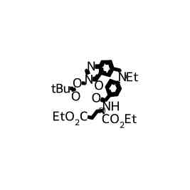 CCOC(=O)CC[C@@H](NC(=O)c1ccc(N(CC)Cc2ccc3ncn(COC(=O)C(C)(C)C)c(=O)c3c2)cc1)C(=O)OCC